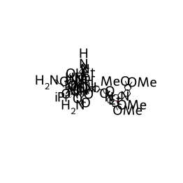 CCC(=O)[C@H](Cc1c[nH]cn1)NN[C@@H](CO)C(=O)N[C@@H](CO)C(=O)N[C@@H](CCCCN)C(=O)N[C@@H](CC(C)C)C(=O)C(=O)[C@H](CCC(N)=O)NC(=O)Nc1ccc(COC(=O)N2CCc3cc(OC)c(OC)cc3C2CC2CC3c4cc(OC)c(OC)cc4CCN3CC2CC)cc1